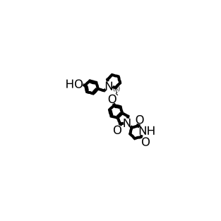 O=C1CCC(N2Cc3cc(OC[C@H]4CCCCN4Cc4ccc(O)cc4)ccc3C2=O)C(=O)N1